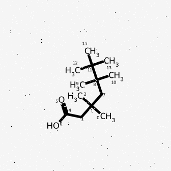 CC(C)(CC(=O)O)CC(C)(C)C(C)(C)C